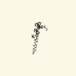 CCCCCCCCCCCCCCOC(=O)CC[C@H](N)C(=O)[O-].[K+]